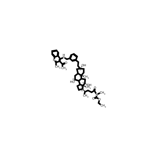 CCOC(=O)N(C)C(=O)CCC(C)[C@H]1CCC2C3C(C[C@H](O)[C@@]21C)[C@@]1(C)CC[C@](O)(CCc2cccc(CNc4c(C(C)=O)c(C)nc5ccccc45)c2)CC1C[C@H]3O